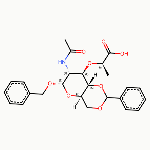 CC(=O)N[C@H]1[C@@H](OCc2ccccc2)O[C@@H]2COC(c3ccccc3)O[C@H]2[C@@H]1O[C@H](C)C(=O)O